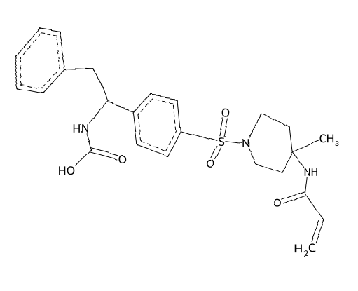 C=CC(=O)NC1(C)CCN(S(=O)(=O)c2ccc(C(Cc3ccccc3)NC(=O)O)cc2)CC1